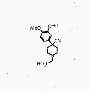 CCOc1cc(C2(C#N)CCN(CC(=O)O)CC2)ccc1OC